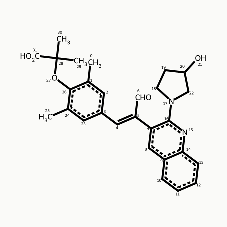 Cc1cc(C=C(C=O)c2cc3ccccc3nc2N2CCC(O)C2)cc(C)c1OC(C)(C)C(=O)O